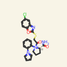 NC(=O)[C@@H]1CCC[N+]1(C(=O)CSc1nc2cc(Cl)ccc2o1)c1ccccc1-n1cccc1